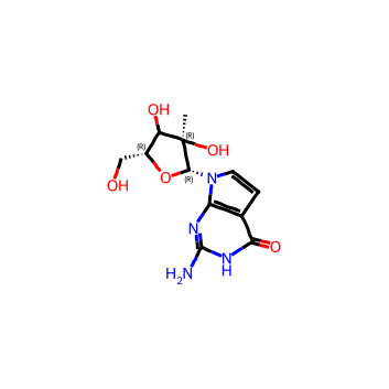 C[C@@]1(O)C(O)[C@@H](CO)O[C@H]1n1ccc2c(=O)[nH]c(N)nc21